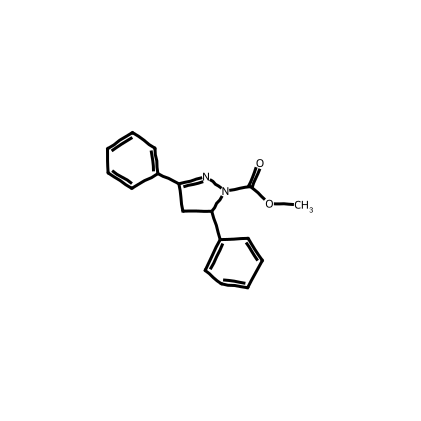 COC(=O)N1N=C(c2ccccc2)CC1c1ccccc1